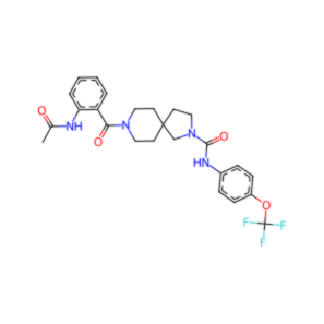 CC(=O)Nc1ccccc1C(=O)N1CCC2(CCN(C(=O)Nc3ccc(OC(F)(F)F)cc3)C2)CC1